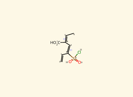 C=C/C(=C\C(=C/C)C(=O)O)S(=O)(=O)Cl